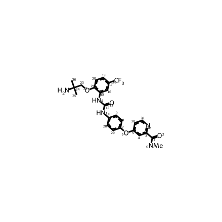 CNC(=O)c1cc(Oc2ccc(NC(=O)Nc3cc(C(F)(F)F)ccc3OCC(C)(C)N)cc2)ccn1